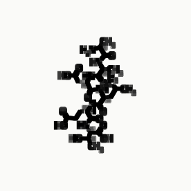 CC(C)C[C@H](NC(=O)[C@H](CC(=O)O)NC(=O)[C@H](C)NC(=O)[C@H](C)N)C(=O)N[C@@H](CCC(=O)O)C(=O)N[C@H](C(=O)O)[C@@H](C)O